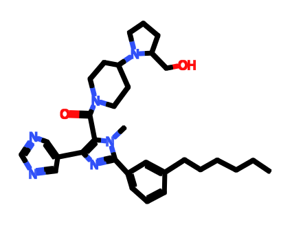 CCCCCCc1cccc(-c2nc(-c3cncnc3)c(C(=O)N3CCC(N4CCCC4CO)CC3)n2C)c1